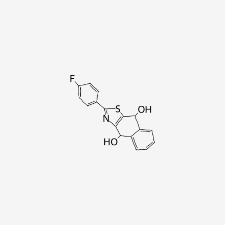 OC1c2ccccc2C(O)c2sc(-c3ccc(F)cc3)nc21